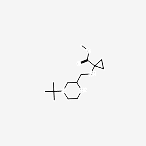 COC(=O)C1(NCC2CN(C(C)(C)C)CCN2)CC1